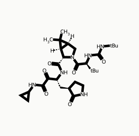 CC(C)(C)NC(=O)N[C@H](C(=O)N1C[C@H]2[C@@H]([C@H]1C(=O)N[C@H](C[C@H]1CCNC1=O)C(=O)C(=O)NC1CC1)C2(C)C)C(C)(C)C